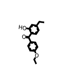 CCOc1ccc(C(=O)c2ccc(CC)cc2O)cc1